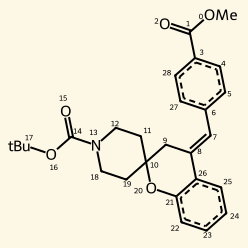 COC(=O)c1ccc(C=C2CC3(CCN(C(=O)OC(C)(C)C)CC3)Oc3ccccc32)cc1